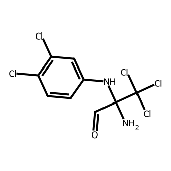 NC(C=O)(Nc1ccc(Cl)c(Cl)c1)C(Cl)(Cl)Cl